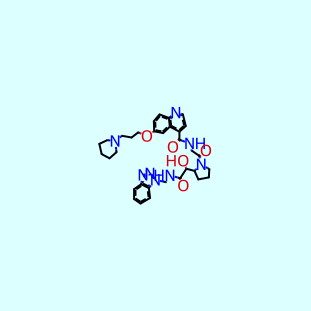 O=C(NCC(=O)N1CCCC1C(O)C(=O)NCn1nnc2ccccc21)c1ccnc2ccc(OCCCN3CCCCC3)cc12